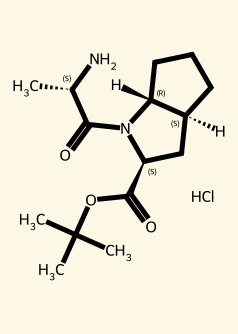 C[C@H](N)C(=O)N1[C@@H]2CCC[C@H]2C[C@H]1C(=O)OC(C)(C)C.Cl